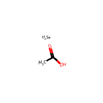 CC(=O)O.[SeH2]